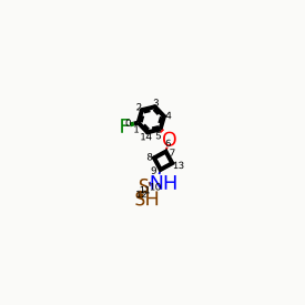 Fc1cccc(O[C@H]2C[C@@H](NSS)C2)c1